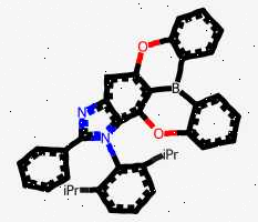 CC(C)c1cccc(C(C)C)c1-n1c(-c2ccccc2)nc2cc3c4c(c21)Oc1ccccc1B4c1ccccc1O3